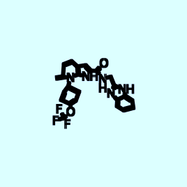 C=C1C=Cc2cc(C(=O)NCc3nc4ccccc4[nH]3)[nH]c2N1c1ccc(OC(F)(F)F)cc1